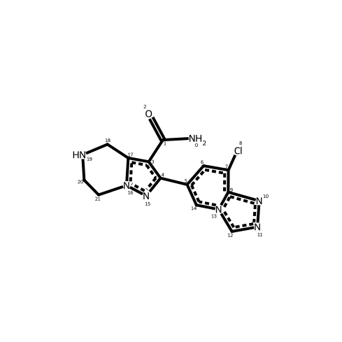 NC(=O)c1c(-c2cc(Cl)c3nncn3c2)nn2c1CNCC2